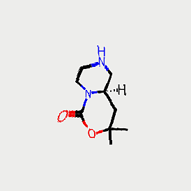 CC1(C)C[C@@H]2CNCCN2C(=O)O1